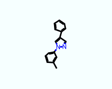 Cc1cccc(-n2cc(-c3ccccc3)cn2)c1